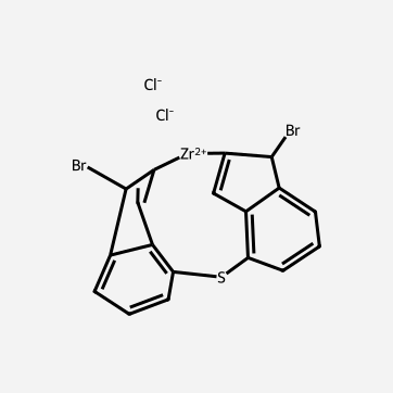 BrC1[C]2=Cc3c(cccc31)Sc1cccc3c1C=[C]([Zr+2]2)C3Br.[Cl-].[Cl-]